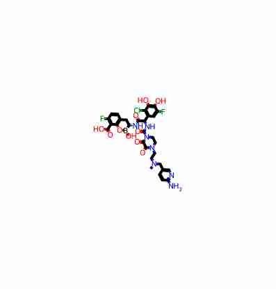 CN(CCN1CCN(C(=O)NC(C(=O)N[C@H]2Cc3ccc(F)c(C(=O)O)c3OB2O)c2cc(F)c(O)c(O)c2Cl)C(=O)C1=O)Cc1ccc(N)nc1